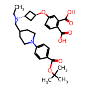 CCN(CC1CCN(c2ccc(C(=O)OC(C)(C)C)cc2)CC1)[C@H]1C[C@H](Oc2ccc(C(=O)O)c(C(=O)O)c2)C1